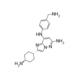 NCc1ccc(Nc2cc(N)nn3cc([C@H]4CC[C@H](N)CC4)nc23)cc1